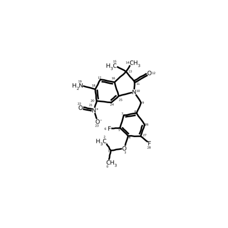 CC(C)Oc1c(F)cc(CN2C(=O)C(C)(C)c3cc(N)c([N+](=O)[O-])cc32)cc1F